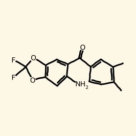 Cc1ccc(C(=O)c2cc3c(cc2N)OC(F)(F)O3)cc1C